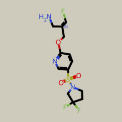 NC/C(=C\F)COc1ccc(S(=O)(=O)N2CCC(F)(F)C2)cn1